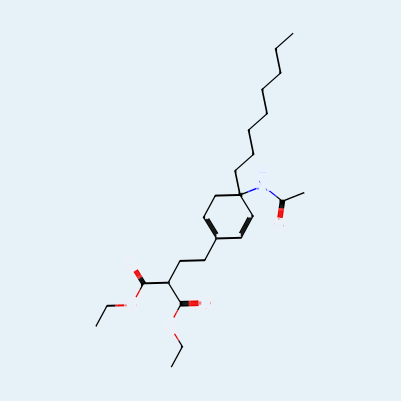 CCCCCCCCC1(NC(C)=O)C=CC(CCC(C(=O)OCC)C(=O)OCC)=CC1